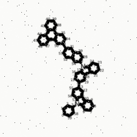 c1ccc(-n2c3ccccc3c3cc(-c4ccc5c(c4)c4ccccc4n5-c4ccc5cc(-c6ccc7c8ccccc8c8ccccc8c7c6)ccc5c4)ccc32)cc1